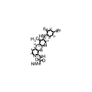 CNS(=O)(=O)Nc1nccc(Cc2cncc(Nc3ccc(C(C)C)cc3F)c2C)c1F